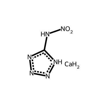 O=[N+]([O-])Nc1nnn[nH]1.[CaH2]